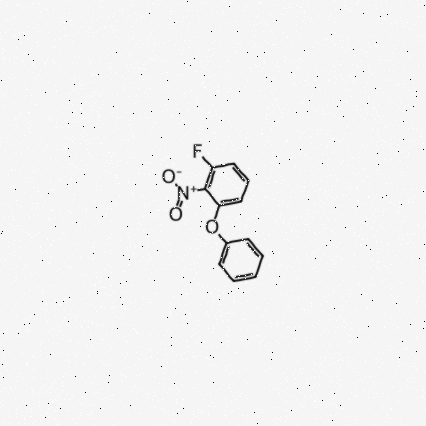 O=[N+]([O-])c1c(F)cccc1Oc1ccccc1